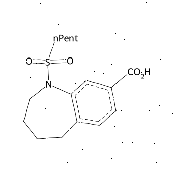 CCCCCS(=O)(=O)N1CCCCc2ccc(C(=O)O)cc21